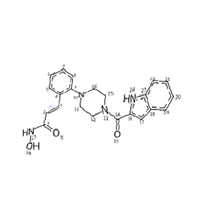 O=C(/C=C/c1ccccc1N1CCN(C(=O)c2cc3ccccc3[nH]2)CC1)NO